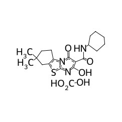 CC1(C)CCc2c(sc3nc(O)c(C(=O)NC4CCCCC4)c(=O)n23)C1.O=C(O)O